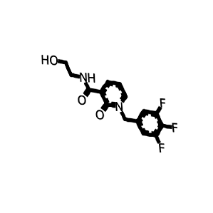 O=C(NCCO)c1cccn(Cc2cc(F)c(F)c(F)c2)c1=O